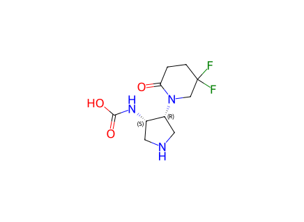 O=C(O)N[C@H]1CNC[C@H]1N1CC(F)(F)CCC1=O